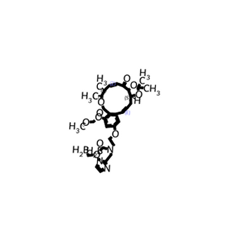 BCOn1ccnc1CN(CCOc1cc2c(c(OCOC)c1)C(=O)O[C@@H](C)[C@H](C)/C=C\C(=O)C1OC(C)(C)O[C@H]1C/C=C/2)C(B)=O